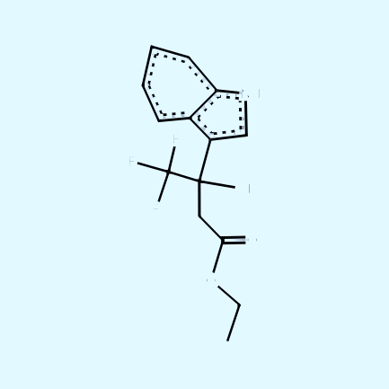 CCOC(=O)CC(O)(c1c[nH]c2ccccc12)C(F)(F)F